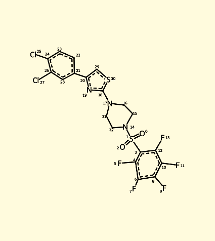 O=S(=O)(c1c(F)c(F)c(F)c(F)c1F)N1CCN(c2nc(-c3ccc(Cl)c(Cl)c3)cs2)CC1